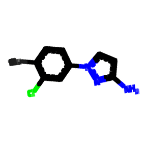 CC(C)(C)c1ccc(-n2ccc(N)n2)cc1Cl